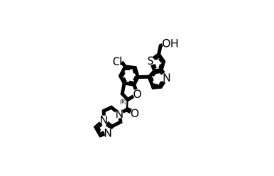 O=C([C@H]1Cc2cc(Cl)cc(-c3ccnc4cc(CO)sc34)c2O1)N1CCn2ccnc2C1